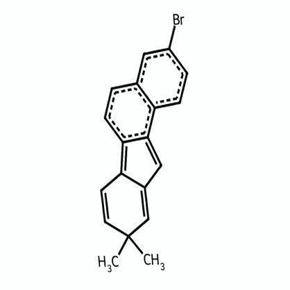 CC1(C)C=CC2=c3ccc4cc(Br)ccc4c3=CC2=C1